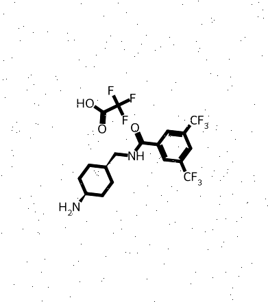 N[C@H]1CC[C@@H](CNC(=O)c2cc(C(F)(F)F)cc(C(F)(F)F)c2)CC1.O=C(O)C(F)(F)F